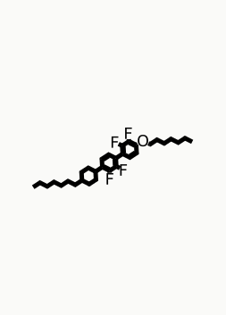 CCCCCCCOc1ccc(-c2ccc(C3CCC(CCCCCCC)CC3)c(F)c2F)c(F)c1F